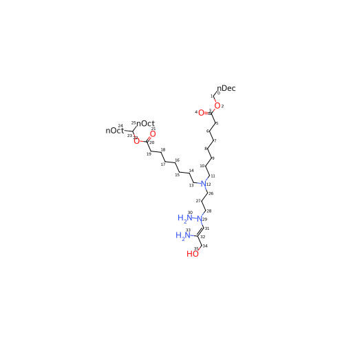 CCCCCCCCCCCOC(=O)CCCCCCCN(CCCCCCCC(=O)OC(CCCCCCCC)CCCCCCCC)CCCN(N)/C=C(\N)CO